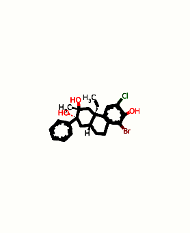 CC[C@@]12C[C@@](C)(O)[C@](O)(c3ccccc3)C[C@H]1CCc1c2cc(Cl)c(O)c1Br